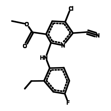 CCc1cc(F)ccc1Nc1nc(C#N)c(Cl)cc1C(=O)OC